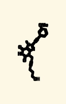 COc1cccc(C#Cc2nc3c(c(=O)[nH]c(=O)n3CC#CCCCO)n2C)c1